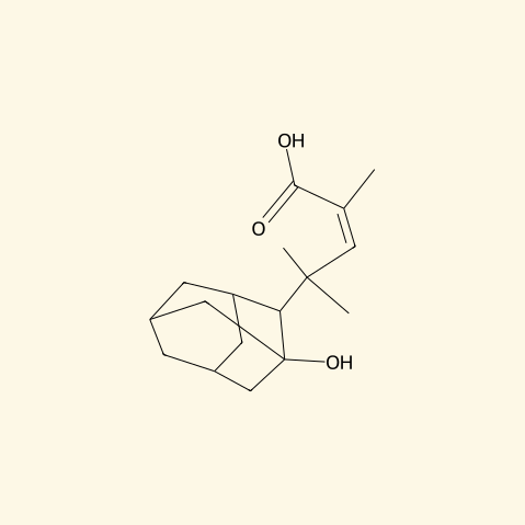 CC(=CC(C)(C)C1C2CC3CC(C2)CC1(O)C3)C(=O)O